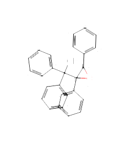 CC(c1ccccc1)(c1ccccc1)C1(c2ccccc2)OC1c1ccccc1